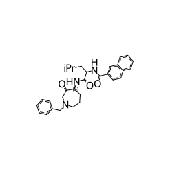 [CH2]C([CH2])CC(NC(=O)c1ccc2ccccc2c1)C(=O)N[C@H]1CCCN(Cc2ccccc2)CC1=O